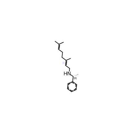 CC(C)=CCC/C(C)=C/CN[C@H](C)c1ccccc1